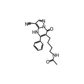 CC(=O)NCCCCc1c(-c2ccccc2)[nH]c2c(C#N)cnn2c1=O